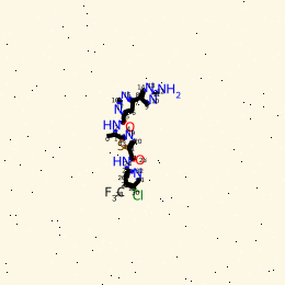 CC(NC(=O)c1cc(-c2cnc(N)nc2)ncn1)c1ncc(C(=O)Nc2cc(C(F)(F)F)c(Cl)cn2)s1